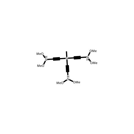 CO[SiH](C#C[Si](C)(C#C[SiH](OC)OC)C#C[SiH](OC)OC)OC